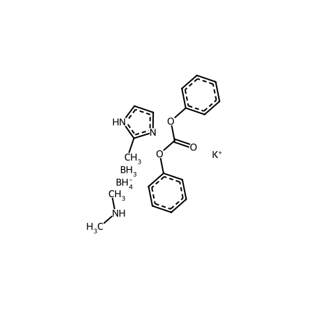 B.CNC.Cc1ncc[nH]1.O=C(Oc1ccccc1)Oc1ccccc1.[BH4-].[K+]